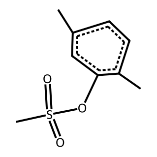 Cc1ccc(C)c(OS(C)(=O)=O)c1